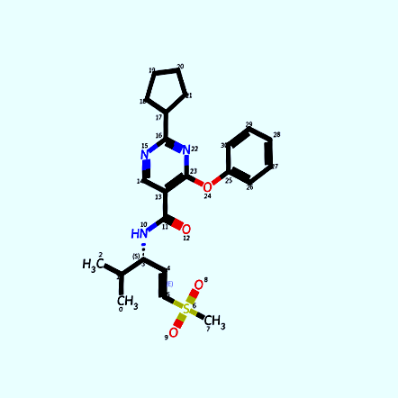 CC(C)[C@@H](/C=C/S(C)(=O)=O)NC(=O)c1cnc(C2CCCC2)nc1Oc1ccccc1